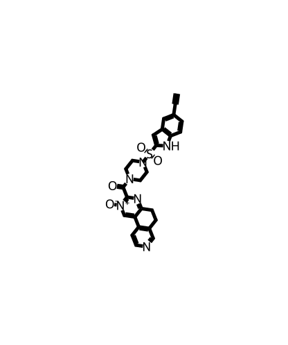 C#Cc1ccc2[nH]c(S(=O)(=O)N3CCN(C(=O)c4nc5c(c[n+]4[O-])-c4ccncc4CC5)CC3)cc2c1